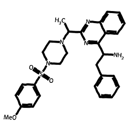 COc1ccc(S(=O)(=O)N2CCN(C(C)c3nc(C(N)Cc4ccccc4)c4ccccc4n3)CC2)cc1